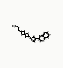 NCCC1CC2(C1)CC(n1cc(-c3cnc4ccccc4n3)cn1)C2